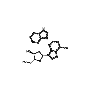 OC[C@H]1O[C@@H](n2cnc3c(O)ncnc32)C[C@@H]1O.c1ncc2[nH]cnc2n1